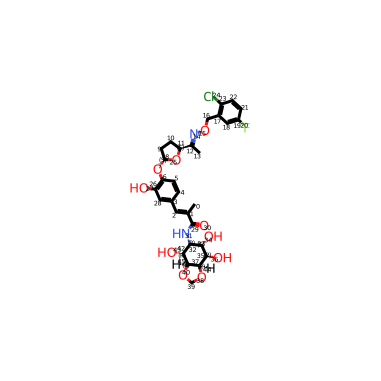 CC(=Cc1ccc(O[C@H]2CC[C@@H](C(C)=NOCc3cc(F)ccc3Cl)O2)c(O)c1)C(=O)N[C@@H]1[C@H](O)[C@@H](O)[C@H]2OCO[C@H]2[C@@H]1O